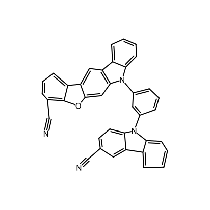 N#Cc1ccc2c(c1)c1ccccc1n2-c1cccc(-n2c3ccccc3c3cc4c(cc32)oc2c(C#N)cccc24)c1